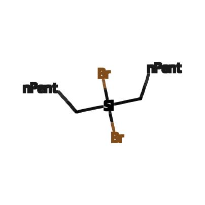 CCCCCC[Si](Br)(Br)CCCCCC